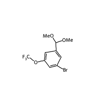 COC(OC)c1cc(Br)cc(OC(F)(F)F)c1